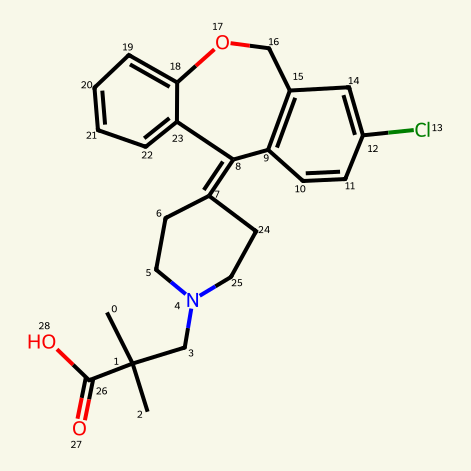 CC(C)(CN1CCC(=C2c3ccc(Cl)cc3COc3ccccc32)CC1)C(=O)O